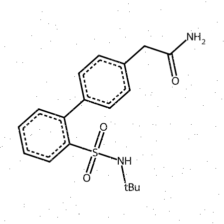 CC(C)(C)NS(=O)(=O)c1ccccc1-c1ccc(CC(N)=O)cc1